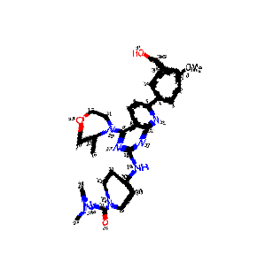 COc1ccc(-c2ccc3c(N4CCOCC4C)nc(NC4CCN(C(=O)N(C)C)CC4)nc3n2)cc1CO